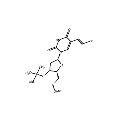 COOC[C@@H]1O[C@H](n2cc(/C=C/Br)c(=O)[nH]c2=O)CC1O[Si](C)(C)C(C)(C)C